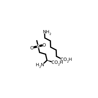 CS(=O)(=O)CC[C@H](N)C(=O)O.NCCCCCC(=O)O